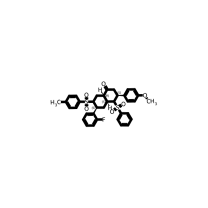 COc1ccc([C@@H]2CC(=O)[C@@H]3CC(S(=O)(=O)c4ccc(C)cc4)[C@H](c4ccccc4F)C[C@@H]3C2S(=O)(=O)c2ccccc2)cc1